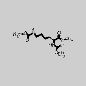 COC(=O)NCCCC[C@H](NC(=O)OC)C(=O)OC